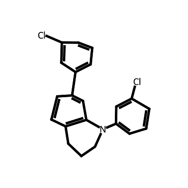 Clc1cccc(-c2ccc3c(c2)N(c2cccc(Cl)c2)CCC3)c1